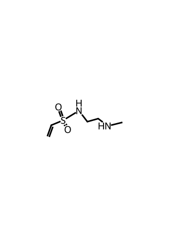 C=CS(=O)(=O)NCCNC